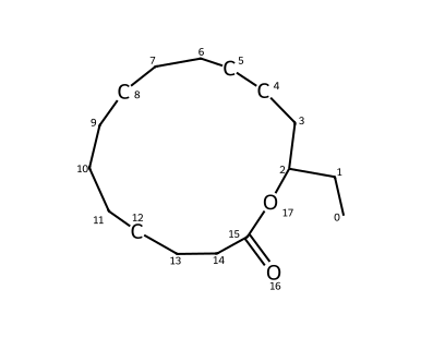 CCC1CCCCCCCCCCCCC(=O)O1